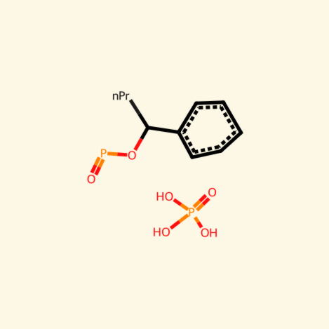 CCCC(OP=O)c1ccccc1.O=P(O)(O)O